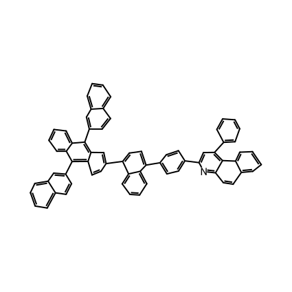 c1ccc(-c2cc(-c3ccc(-c4ccc(-c5ccc6c(-c7ccc8ccccc8c7)c7ccccc7c(-c7ccc8ccccc8c7)c6c5)c5ccccc45)cc3)nc3ccc4ccccc4c23)cc1